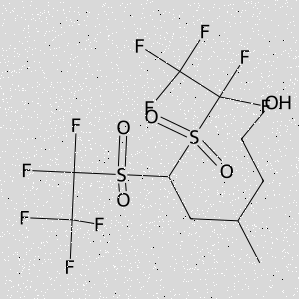 CC(CCO)CC(S(=O)(=O)C(F)(F)C(F)(F)F)S(=O)(=O)C(F)(F)C(F)(F)F